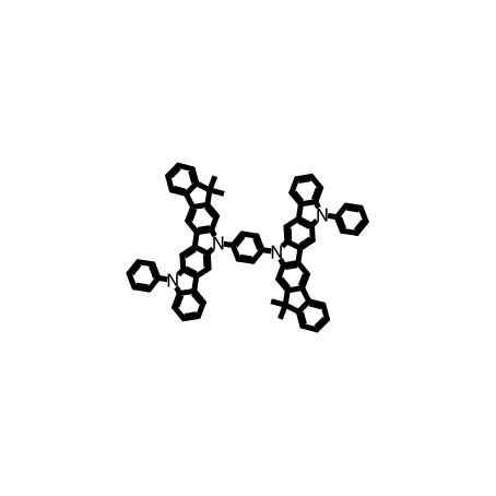 CC1(C)c2ccccc2-c2cc3c4cc5c(cc4n(-c4ccc(-n6c7cc8c(cc7c7cc9c(cc76)c6ccccc6n9-c6ccccc6)-c6ccccc6C8(C)C)cc4)c3cc21)c1ccccc1n5-c1ccccc1